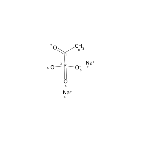 CC(=O)P(=O)([O-])[O-].[Na+].[Na+]